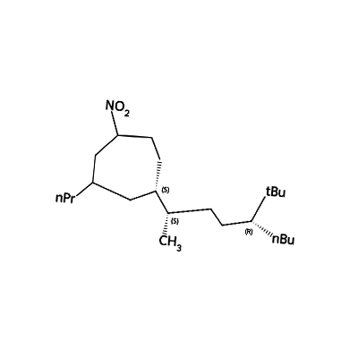 CCCC[C@H](CC[C@H](C)[C@H]1CCC([N+](=O)[O-])CC(CCC)C1)C(C)(C)C